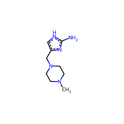 CN1CCN(Cc2c[nH]c(N)n2)CC1